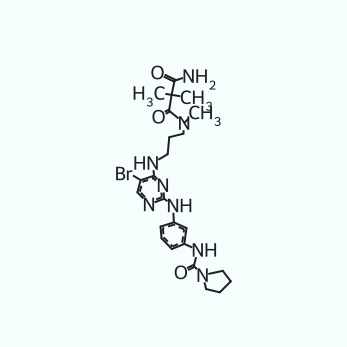 CN(CCCNc1nc(Nc2cccc(NC(=O)N3CCCC3)c2)ncc1Br)C(=O)C(C)(C)C(N)=O